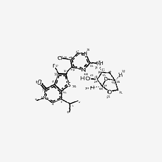 CC(C)c1cn(C)c(=O)c2c(F)c(-c3nc(N[C@@H]4C[C@H]5CO[C@H](O5)[C@H]4O)ncc3Cl)sc12